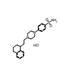 Cl.NS(=O)(=O)c1ccc(N2CCN(CCC3CCCc4ccccc43)CC2)cc1